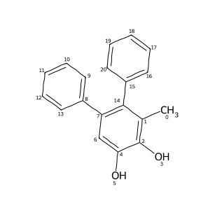 Cc1c(O)c(O)cc(-c2ccccc2)c1-c1ccccc1